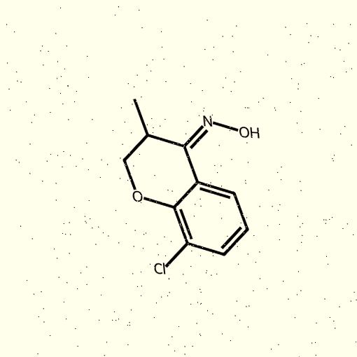 CC1COc2c(Cl)cccc2C1=NO